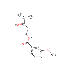 COc1cccc(C(=O)OCCC(=O)C(C)C)c1